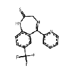 FC(F)(F)c1ccc2c(c1)C(c1ccccn1)=NCC(=S)N2